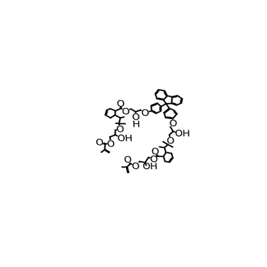 C=C(C)C(=O)OCC(O)COC(=O)C1CC=CCC1C(C)C(C)(C)OCC(O)COc1ccc(C2(c3ccc(OCC(O)COC(=O)C4CC=CCC4C(C)C(C)(C)OCC(O)COC(=O)C(=C)C)cc3)c3ccccc3-c3ccccc32)cc1